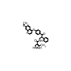 COc1ccc2c(Sc3ccc(C(=O)C(CNC(=O)C4=C(C)NNC4)c4ccccc4)cc3)ccnc2c1